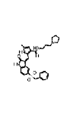 Cc1cc(C(=O)NCCCN2CCCC2)c(/C=C2\C(=O)Nc3ccc(S(=O)(=O)Cc4ccccc4)cc32)[nH]1